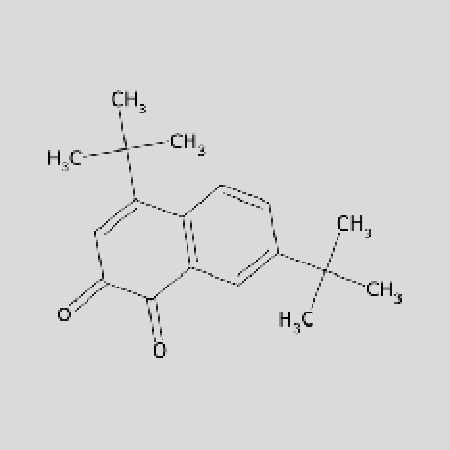 CC(C)(C)C1=CC(=O)C(=O)c2cc(C(C)(C)C)ccc21